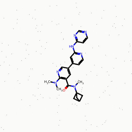 CN(C)c1ncc(-c2ccnc(Nc3ccncn3)c2)cc1C(=O)N(C)C12CC(C1)C2